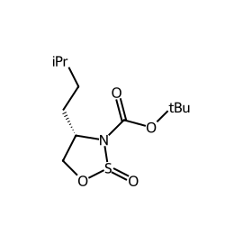 CC(C)CC[C@H]1COS(=O)N1C(=O)OC(C)(C)C